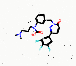 CN(C)CCCN(C(=O)O)c1cccc(Cn2nc(-c3cc(F)c(F)c(F)c3)ccc2=O)c1